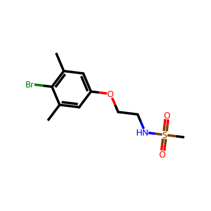 Cc1cc(OCCNS(C)(=O)=O)cc(C)c1Br